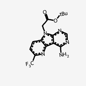 CC(C)(C)OC(=O)Cn1c2ccc(C(F)(F)F)nc2c2c(N)ncnc21